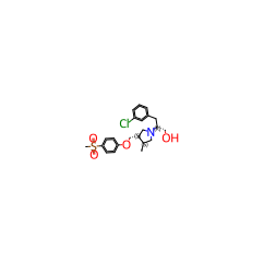 C[C@@H]1CN([C@@H](CO)Cc2cccc(Cl)c2)C[C@H]1COc1ccc(S(C)(=O)=O)cc1